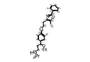 CCOC(CCNC(C)C)c1ccc(OCCc2nc(-c3ccccc3)oc2C)cc1